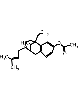 CCC12CCN(CC=C(C)C)C(Cc3ccc(OC(C)=O)cc31)C2C